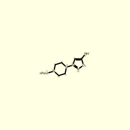 CCCCCN1CCN([n+]2cc([NH-])on2)CC1